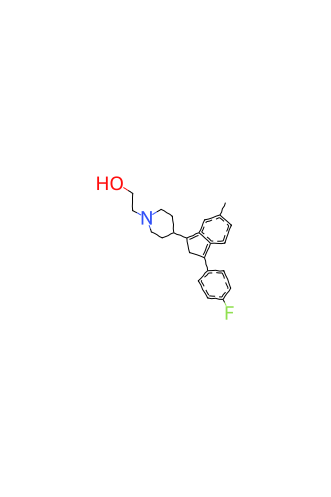 Cc1ccc2c(c1)=C(C1CCN(CCO)CC1)CC=2c1ccc(F)cc1